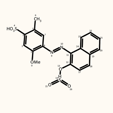 COc1cc(S(=O)(=O)O)c(C)cc1N=Nc1c(O[SH](=O)=O)ccc2ccccc12